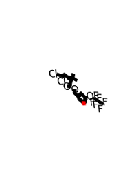 CC1(C)C(C=C(Cl)Cl)C1C(=O)OCc1cccc(OC(F)(F)C(F)(F)C(F)F)c1